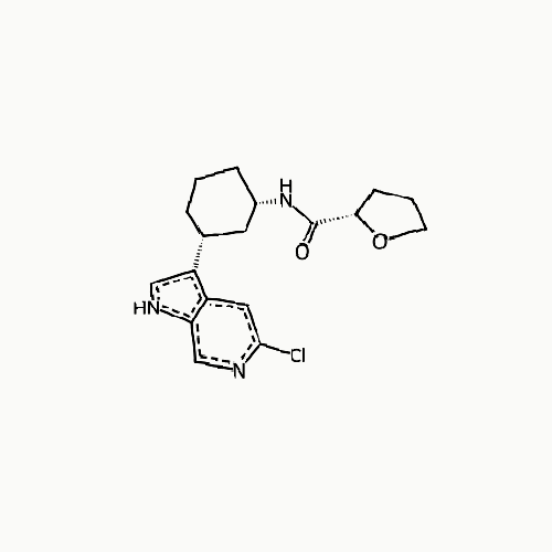 O=C(N[C@H]1CCC[C@@H](c2c[nH]c3cnc(Cl)cc23)C1)[C@@H]1CCCO1